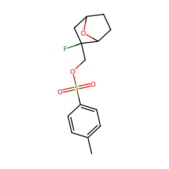 Cc1ccc(S(=O)(=O)OCC2(F)CC3CCC2O3)cc1